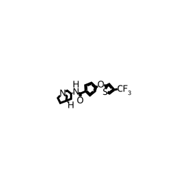 O=C(N[C@@H]1C[C@H]2CCN(C2)C1)c1ccc(Oc2cc(C(F)(F)F)cs2)cc1